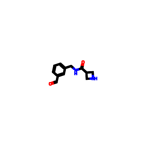 O=Cc1cccc(CNC(=O)C2CNC2)c1